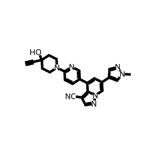 C#CC1(O)CCN(c2ccc(-c3cc(-c4cnn(C)c4)cn4ncc(C#N)c34)cn2)CC1